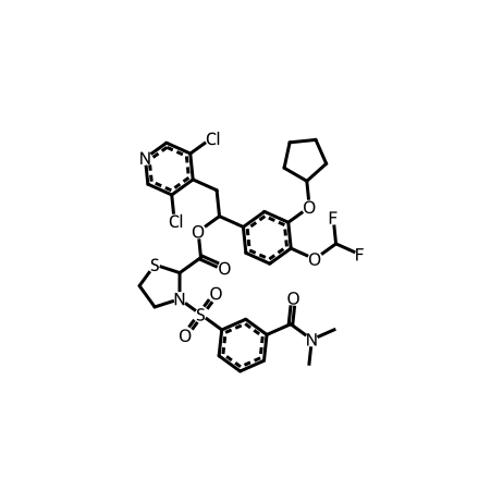 CN(C)C(=O)c1cccc(S(=O)(=O)N2CCSC2C(=O)OC(Cc2c(Cl)cncc2Cl)c2ccc(OC(F)F)c(OC3CCCC3)c2)c1